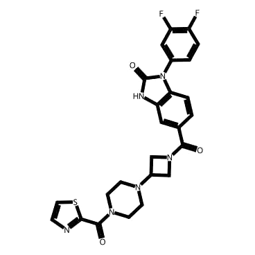 O=C(c1ccc2c(c1)[nH]c(=O)n2-c1ccc(F)c(F)c1)N1CC(N2CCN(C(=O)c3nccs3)CC2)C1